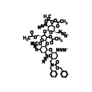 CO[C@@H]1[C@@H](O[C@@H]2O[C@H](COC(C)=O)[C@@H](O[C@H]3O[C@@H](CN=[N+]=[N-])[C@@H](OC(C)=O)[C@H](OC(C)=O)[C@H]3N=[N+]=[N-])[C@H]2OC(C)=O)[C@H](O[C@H]2O[C@H](CN(Cc3ccccc3)C(=O)OCc3ccccc3)CC[C@H]2N=[N+]=[N-])[C@@H](N=[N+]=[N-])C[C@H]1N=[N+]=[N-]